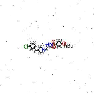 CCCCOc1ccc(S(=O)(=O)NCCCN2CCC(Cc3cccc(Cl)c3)CC2)cc1